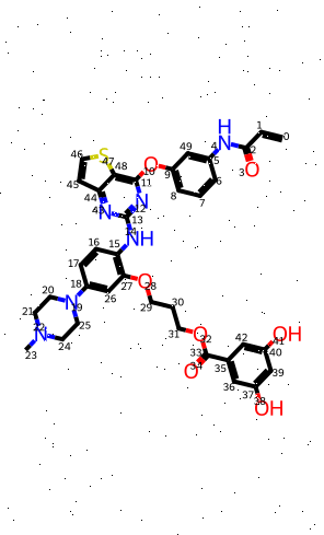 C=CC(=O)Nc1cccc(Oc2nc(Nc3ccc(N4CCN(C)CC4)cc3OCCCOC(=O)c3cc(O)cc(O)c3)nc3ccsc23)c1